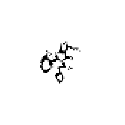 C[C@H](Cc1ccccc1)n1c(-c2ncccc2[N+](=O)[O-])nc2onc(C(F)(F)F)c2c1=O